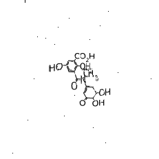 CN(C(=O)c1cc(O)cc(C(=O)O)c1O)C1=CC(=O)C(O)C(O)C1